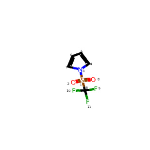 O=S(=O)(n1cccc1)C(F)(F)F